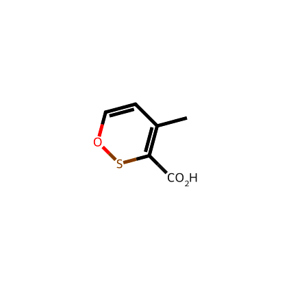 CC1=C(C(=O)O)SOC=C1